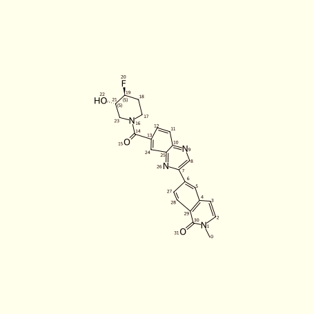 Cn1ccc2cc(-c3cnc4ccc(C(=O)N5CC[C@H](F)[C@@H](O)C5)cc4n3)ccc2c1=O